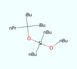 CCCCO[Si](CCCC)(CCCC)OC(CCC)(C(C)CC)C(C)CC